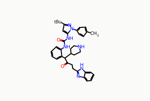 Cc1ccc(-n2nc(C(C)(C)C)cc2NC(=O)Nc2ccccc2C(C(=O)CCc2nc3ccccc3[nH]2)C2CCNCC2)cc1